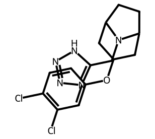 Clc1ccc(OC2CC3CCC(C2)N3Cc2nnn[nH]2)cc1Cl